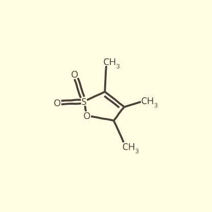 CC1=C(C)S(=O)(=O)OC1C